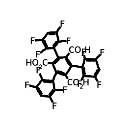 O=C(O)c1c(-c2c(F)c(F)cc(F)c2F)c(C(=O)O)c(-c2c(F)c(F)cc(F)c2F)c(C(=O)O)c1-c1c(F)c(F)cc(F)c1F